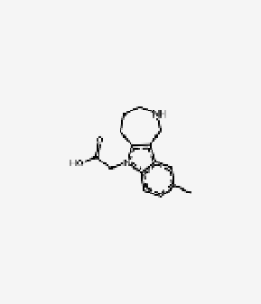 Cc1ccc2c(c1)c1c(n2CC(=O)O)CCCNC1